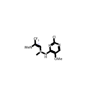 CN/C(=C\N(C)Nc1nc(Cl)ncc1OC)C(F)(F)F